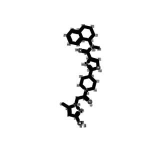 Cc1cc(C(F)(F)F)nn1CC(=O)N1CCC(c2nc(C(=O)N(C)C3CCCc4ccccc43)co2)CC1